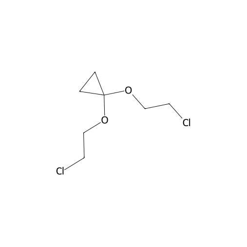 ClCCOC1(OCCCl)CC1